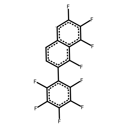 Fc1[c]c2ccc(-c3c(F)c(F)c(F)c(F)c3F)c(F)c2c(F)c1F